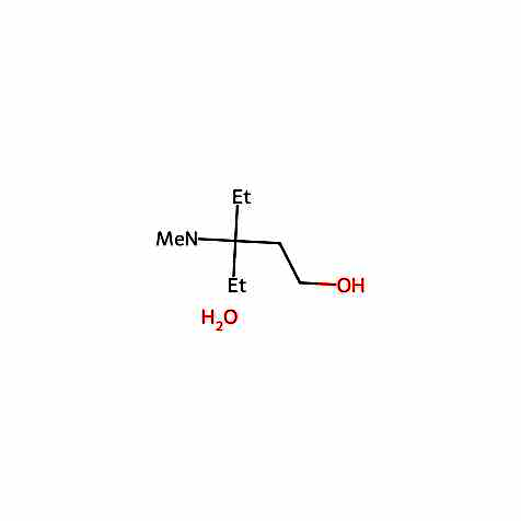 CCC(CC)(CCO)NC.O